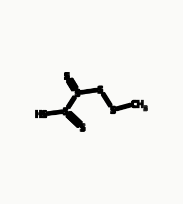 CSSS(=S)S(=S)S